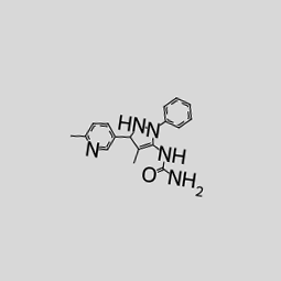 CC1=C(NC(N)=O)N(c2ccccc2)NC1c1ccc(C)nc1